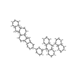 c1cc(-c2ccc3c(c2)sc2c3ccc3c2ccc2c4ccccc4oc23)cc(-c2c3ccccc3c(-c3cccc4ccccc34)c3ccccc23)c1